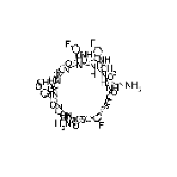 COc1ccc(C[C@@H]2NC(=O)CNC(=O)[C@@H]3CCCN3C(=O)[C@H](Cc3c[nH]c4ccc(F)cc34)NC(=O)[C@H](Cc3c[nH]c4ccc(F)cc34)NC(=O)[C@@H](C)NC(=O)[C@H](CCCCN)NC(=O)CCSCc3cc(F)cc(c3)CSC[C@@H](C(N)=O)NC(=O)[C@]3(C)CCCN3C2=O)cc1